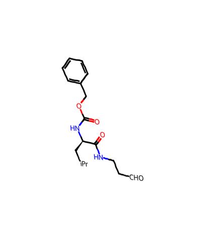 CC(C)C[C@@H](NC(=O)OCc1ccccc1)C(=O)NCCC=O